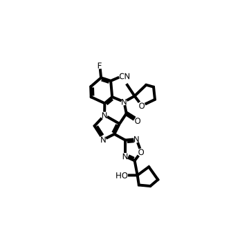 CC1(n2c(=O)c3c(-c4noc(C5(O)CCCC5)n4)ncn3c3ccc(F)c(C#N)c32)CCCO1